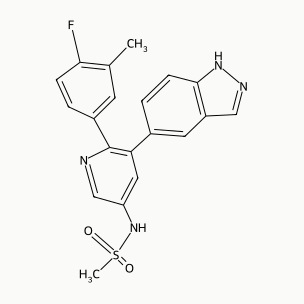 Cc1cc(-c2ncc(NS(C)(=O)=O)cc2-c2ccc3[nH]ncc3c2)ccc1F